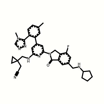 Cc1ccc(-c2nncn2C)c(-c2cc(NCC3(CC#N)CC3)nc(N3Cc4c(F)cc(CNC5CCCC5)cc4C3=O)c2)c1